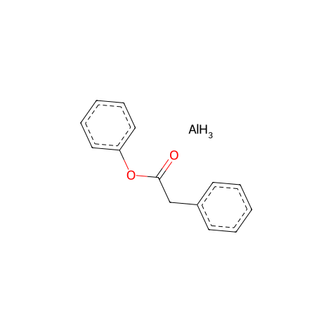 O=C(Cc1ccccc1)Oc1ccccc1.[AlH3]